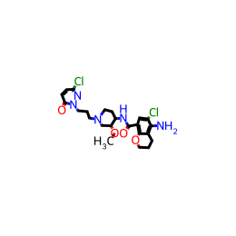 COC1CN(CCCn2nc(Cl)ccc2=O)CCC1NC(=O)c1cc(Cl)c(N)c2c1OCCC2